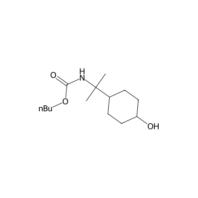 CCCCOC(=O)NC(C)(C)C1CCC(O)CC1